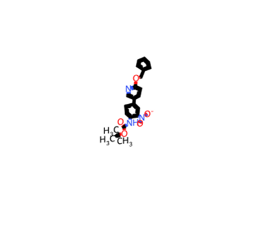 CC(C)(C)OC(=O)Nc1ccc(-c2ccc(OCc3ccccc3)nc2)cc1[N+](=O)[O-]